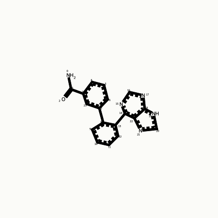 NC(=O)c1cccc(-c2ccccc2-c2ncnc3[nH]cnc23)c1